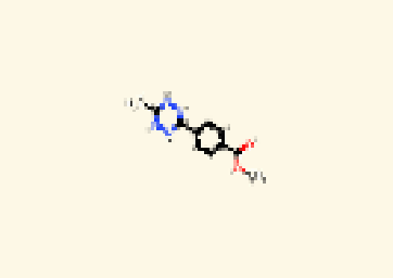 COC(=O)c1ccc(-c2nnc(C)nn2)cc1